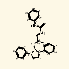 C=C(NC[C@@H](C)OP1N(c2ccccc2)CCN1c1ccccc1)Nc1ccccc1